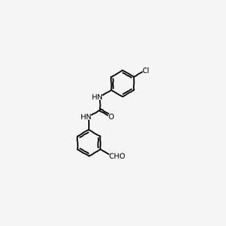 O=Cc1cccc(NC(=O)Nc2ccc(Cl)cc2)c1